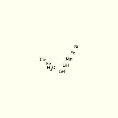 O.[Co].[Fe].[Fe].[LiH].[LiH].[Mn].[Ni]